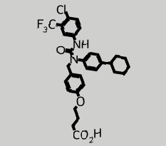 O=C(O)CCCOc1ccc(CN(C(=O)Nc2ccc(Cl)c(C(F)(F)F)c2)c2ccc(C3CCCCC3)cc2)cc1